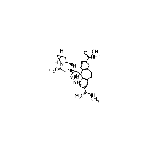 C=C(NC)c1ccc2c(c1)CCc1cc(C(=O)NC)ccc1C2(C[C@@H](C)NCC(=C)N1C(C#N)C[C@@H]2C[C@@H]21)C(N)=O